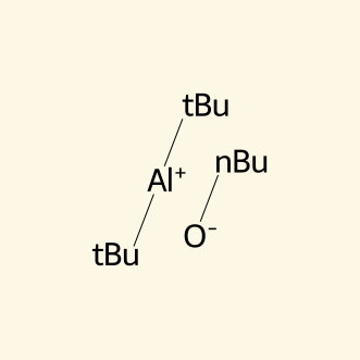 CCCC[O-].C[C](C)(C)[Al+][C](C)(C)C